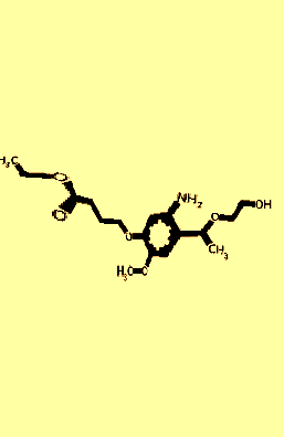 CCOC(=O)CCCOc1cc(N)c(C(C)OCCO)cc1OC